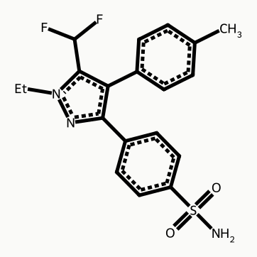 CCn1nc(-c2ccc(S(N)(=O)=O)cc2)c(-c2ccc(C)cc2)c1C(F)F